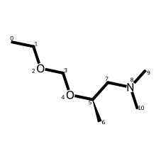 CCOCO[C@H](C)CN(C)C